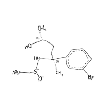 C[C@@H](O)C[C@](C)(N[S+]([O-])C(C)(C)C)c1cccc(Br)c1